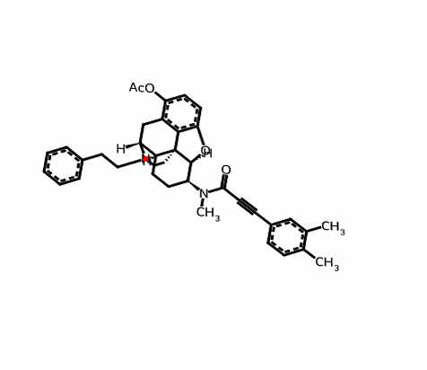 CC(=O)Oc1ccc2c3c1C[C@@H]1[C@@H]4CC[C@H](N(C)C(=O)C#Cc5ccc(C)c(C)c5)[C@H](O2)[C@]34CCN1CCc1ccccc1